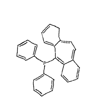 C1=CCC2=CC=c3ccccc3=C(P(c3ccccc3)c3ccccc3)C2=C1